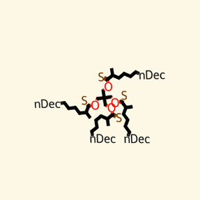 CCCCCCCCCCCCCCC(C)C(=S)OCC(COC(=S)C(C)CCCCCCCCCCCCCC)(COC(=S)C(C)CCCCCCCCCCCCCC)COC(=S)C(C)CCCCCCCCCCCCCC